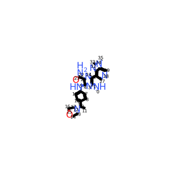 CNc1nc(Nc2ccc(C(C)N3CCOCC3)cc2)c(C(N)=O)nc1-c1cncc2c1ncn2C